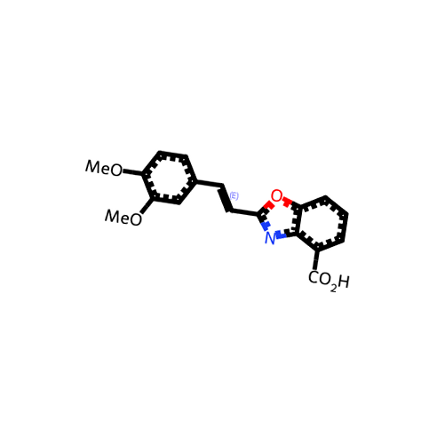 COc1ccc(/C=C/c2nc3c(C(=O)O)cccc3o2)cc1OC